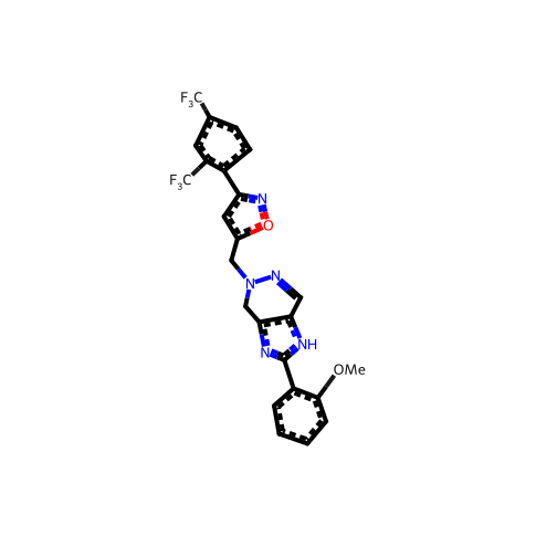 COc1ccccc1-c1nc2c([nH]1)C=NN(Cc1cc(-c3ccc(C(F)(F)F)cc3C(F)(F)F)no1)C2